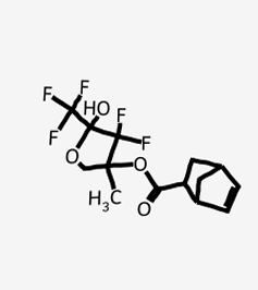 CC1(OC(=O)C2CC3C=CC2C3)COC(O)(C(F)(F)F)C1(F)F